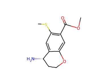 COC(=O)c1cc2c(cc1SC)[C@@H](N)CCO2